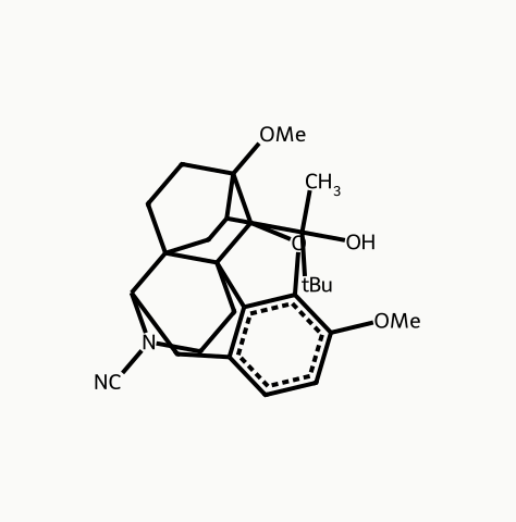 COc1ccc2c3c1OC1C4(OC)CCC5(CC4C(C)(O)C(C)(C)C)C(C2)N(C#N)CCC315